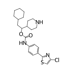 O=C(Nc1ccc(-c2nc(Cl)cs2)cc1)OC(CC1CCCCC1)C1CCNCC1